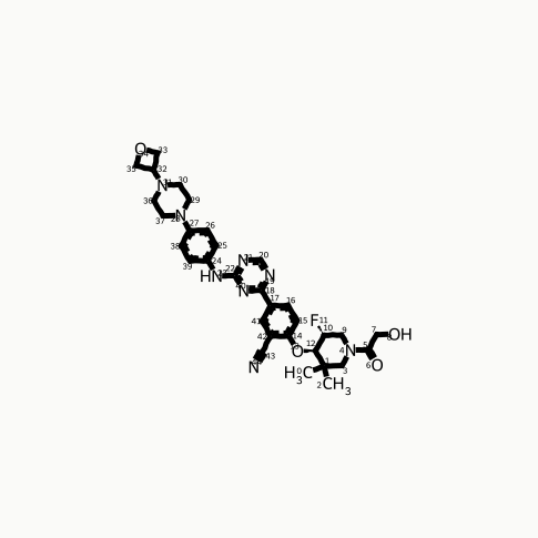 CC1(C)CN(C(=O)CO)C[C@@H](F)[C@@H]1Oc1ccc(-c2ncnc(Nc3ccc(N4CCN(C5COC5)CC4)cc3)n2)cc1C#N